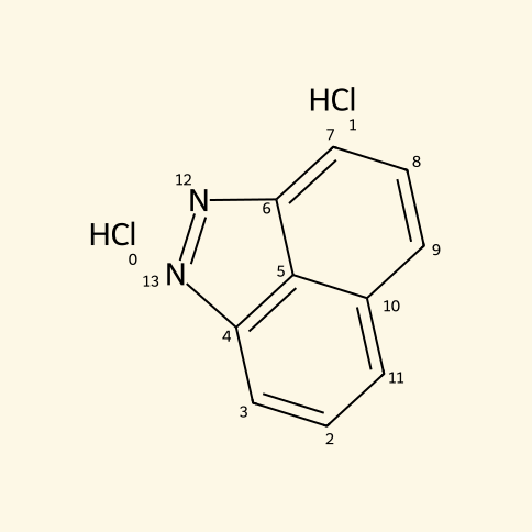 Cl.Cl.c1cc2c3c(cccc3c1)N=N2